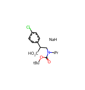 CC(C)N(CC(C(=O)O)c1ccc(Cl)cc1)C(=O)OC(C)(C)C.[NaH]